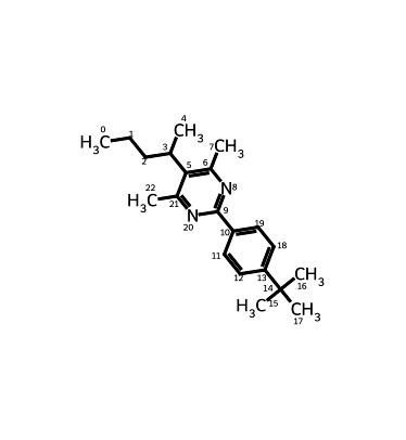 CCCC(C)c1c(C)nc(-c2ccc(C(C)(C)C)cc2)nc1C